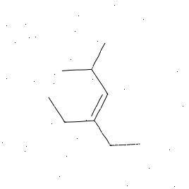 CCC(=CC(C)C)CC